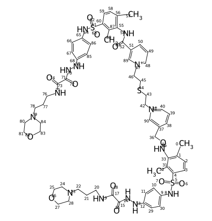 Cc1ccc(S(=O)(=O)Nc2ccc(NNC(=O)C(=O)NCCCN3CCOCC3)cc2)c(C)c1NOCc1ccc[n+](CCSCC[n+]2cccc(C(=O)Nc3c(C)ccc(S(=O)(=O)Nc4ccc(NNC(=O)C(=O)NCCCN5CCOCC5)cc4)c3C)c2)c1